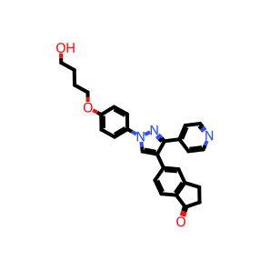 O=C1CCc2cc(-c3cn(-c4ccc(OCCCCO)cc4)nc3-c3ccncc3)ccc21